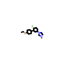 CCSc1ccc(-c2cc(N3C=CN(C)C3)ccc2F)cc1